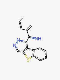 C=C(/C=C\C)C(=N)c1nncc2sc3ccccc3c12